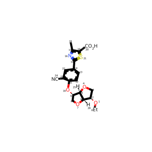 CCO[C@H]1CO[C@H]2[C@@H]1OC[C@@H]2Oc1ccc(-c2nc(C)c(C(=O)O)s2)cc1C#N